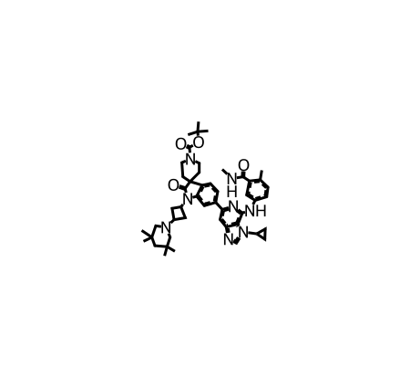 CNC(=O)c1cc(Nc2nc(-c3ccc4c(c3)N(C3CC(N5CC(C)(C)CC(C)(C)C5)C3)C(=O)C43CCN(C(=O)OC(C)(C)C)CC3)cc3ncn(C4CC4)c23)ccc1C